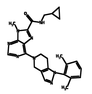 Cc1cccc(C)c1-n1ncc2c1CCN(c1ncnc3c1nc(C(=O)NCC1CC1)n3C)C2